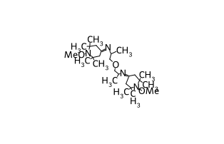 CON1C(C)(C)CC(=NC(C)COCC(C)N=C2CC(C)(C)N(OC)C(C)(C)C2)CC1(C)C